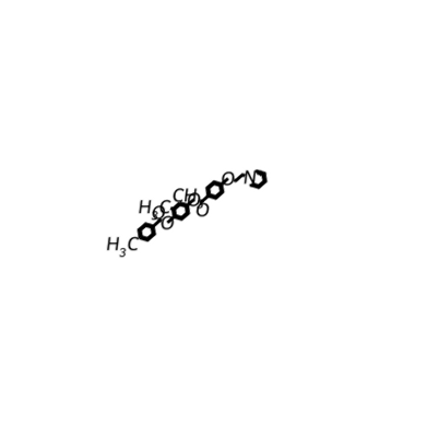 Cc1ccc(C(=O)Oc2ccc(OC(=O)c3ccc(OCC[n+]4ccccc4)cc3)c(C)c2C)cc1